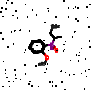 CCCOc1ccccc1[PH](=O)C(C)COC(C)=O